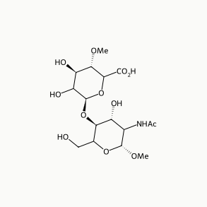 CO[C@@H]1OC(CO)[C@@H](O[C@@H]2OC(C(=O)O)[C@@H](OC)[C@H](O)C2O)[C@H](O)C1NC(C)=O